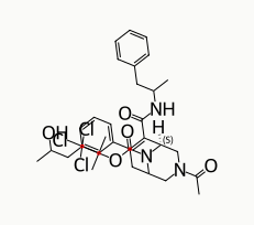 CC(=O)N1CC2CC(c3cccc(CC(C)O)c3)=C(C(=O)NC(C)Cc3ccccc3)[C@@H](C1)N2C(=O)OC(C)(C)C(Cl)(Cl)Cl